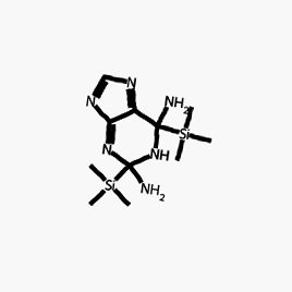 C[Si](C)(C)C1(N)N=C2N=CN=C2C(N)([Si](C)(C)C)N1